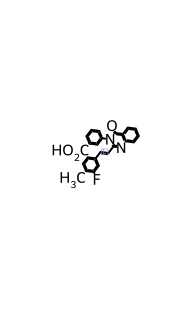 Cc1ccc(/C=C/c2nc3ccccc3c(=O)n2-c2cccc(C(=O)O)c2)cc1F